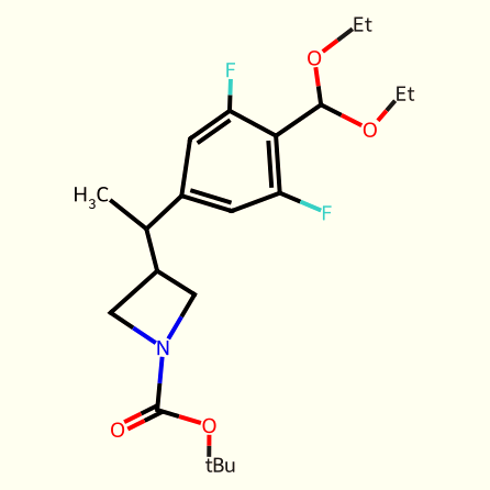 CCOC(OCC)c1c(F)cc(C(C)C2CN(C(=O)OC(C)(C)C)C2)cc1F